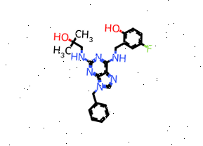 CC(C)(O)CNc1nc(NCc2cc(F)ccc2O)c2ncn(Cc3ccccc3)c2n1